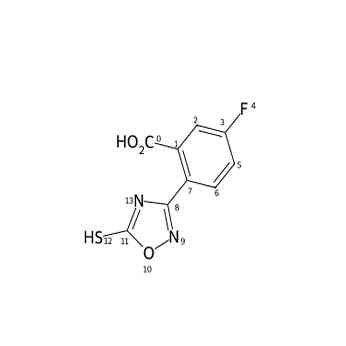 O=C(O)c1cc(F)ccc1-c1noc(S)n1